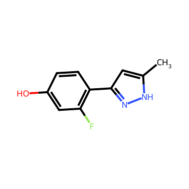 Cc1cc(-c2ccc(O)cc2F)n[nH]1